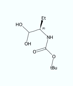 CC[C@@H](NC(=O)OC(C)(C)C)C(O)O